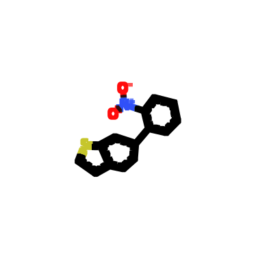 O=[N+]([O-])c1ccccc1-c1ccc2ccsc2c1